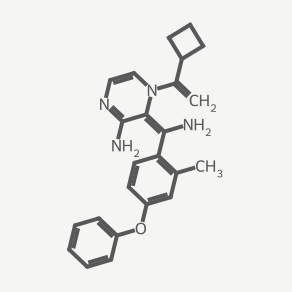 C=C(C1CCC1)N1C=CN=C(N)/C1=C(/N)c1ccc(Oc2ccccc2)cc1C